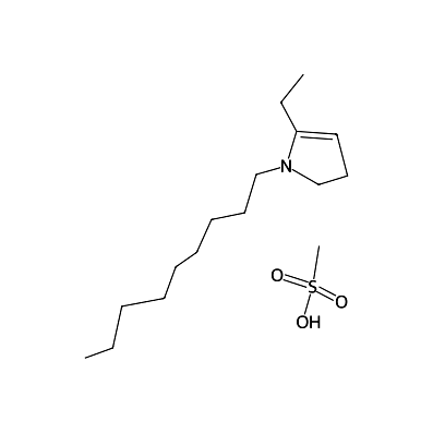 CCCCCCCCCN1CCC=C1CC.CS(=O)(=O)O